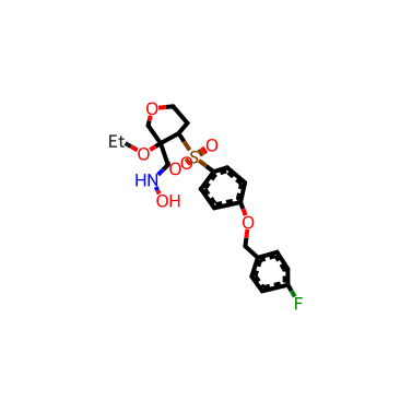 CCOC1(C(=O)NO)COCCC1S(=O)(=O)c1ccc(OCc2ccc(F)cc2)cc1